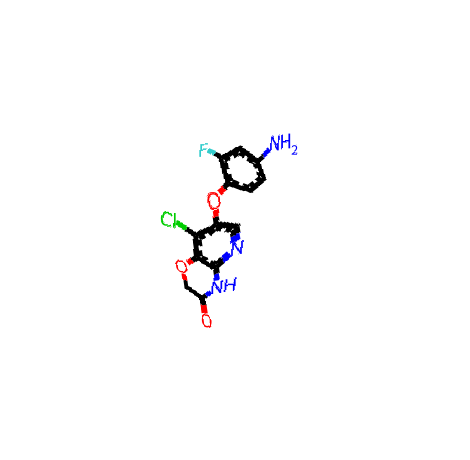 Nc1ccc(Oc2cnc3c(c2Cl)OCC(=O)N3)c(F)c1